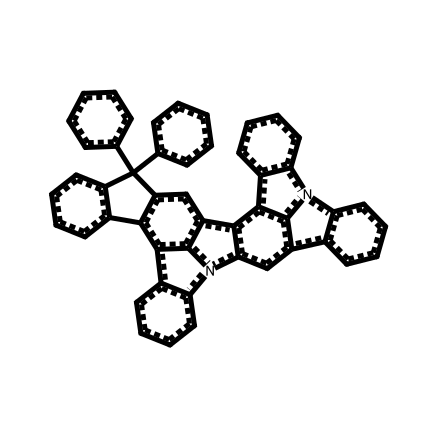 c1ccc(C2(c3ccccc3)c3ccccc3-c3c2cc2c4c5c6ccccc6n6c7ccccc7c(cc4n4c7ccccc7c3c24)c56)cc1